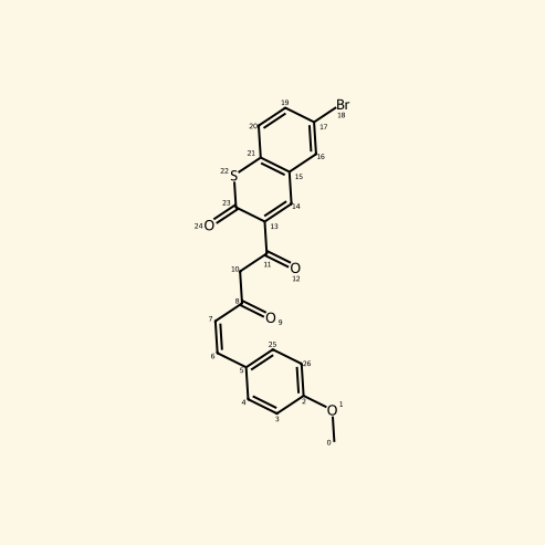 COc1ccc(/C=C\C(=O)CC(=O)c2cc3cc(Br)ccc3sc2=O)cc1